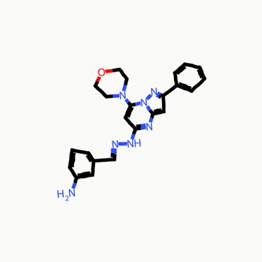 Nc1cccc(/C=N/Nc2cc(N3CCOCC3)n3nc(-c4ccccc4)cc3n2)c1